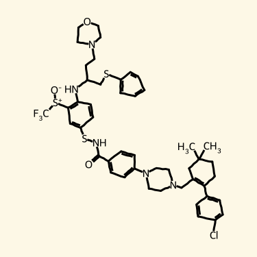 CC1(C)CCC(c2ccc(Cl)cc2)=C(CN2CCN(c3ccc(C(=O)NSc4ccc(NC(CCN5CCOCC5)CSc5ccccc5)c([S+]([O-])C(F)(F)F)c4)cc3)CC2)C1